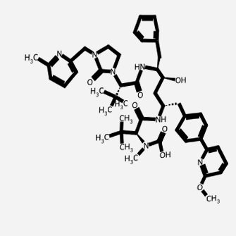 COc1cccc(-c2ccc(C[C@@H](C[C@H](O)[C@H](Cc3ccccc3)NC(=O)[C@@H](N3CCN(Cc4cccc(C)n4)C3=O)C(C)(C)C)NC(=O)[C@@H](N(C)C(=O)O)C(C)(C)C)cc2)n1